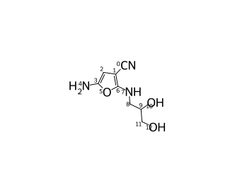 N#Cc1cc(N)oc1NCC(O)CO